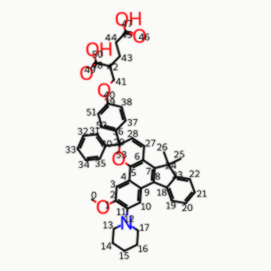 COc1cc2c3c(c4c(c2cc1N1CCCCC1)-c1ccccc1C4(C)C)C=CC(c1ccccc1)(c1ccc(OCC(CCC(=O)O)C(=O)O)cc1)O3